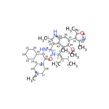 CC/C(C)=C(C)/N=C(/NC(C(=O)N1CCN(C)CC1)C1CCCCC1)c1c(C)[nH]c2cc(-c3c(C)noc3C)c(OC)cc12